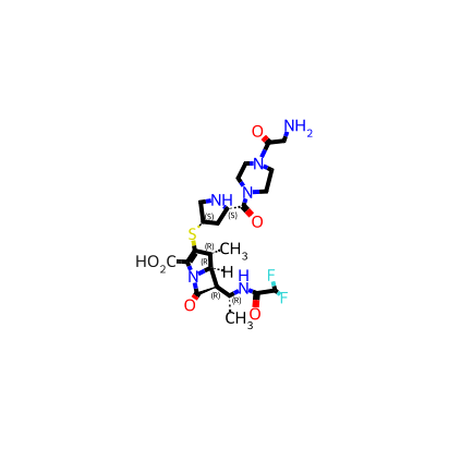 C[C@@H](NC(=O)C(F)F)[C@H]1C(=O)N2C(C(=O)O)=C(S[C@@H]3CN[C@H](C(=O)N4CCN(C(=O)CN)CC4)C3)[C@H](C)[C@@H]12